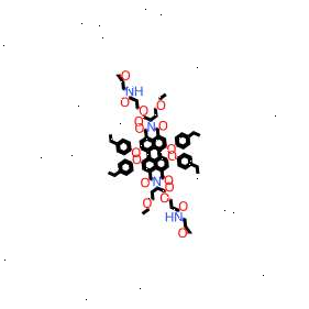 CCOCCC(C(=O)OCCC(=O)NCC1CO1)N1C(=O)c2cc(Oc3ccc(CC)cc3)c3c4c(Oc5ccc(CC)cc5)cc5c6c(cc(Oc7ccc(CC)cc7)c(c7c(Oc8ccc(CC)cc8)cc(c2c37)C1=O)c64)C(=O)N(C(CCOCC)C(=O)OCCC(=O)NCC1CO1)C5=O